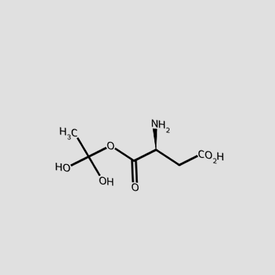 CC(O)(O)OC(=O)[C@@H](N)CC(=O)O